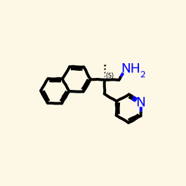 C[C@](CN)(Cc1cccnc1)c1ccc2ccccc2c1